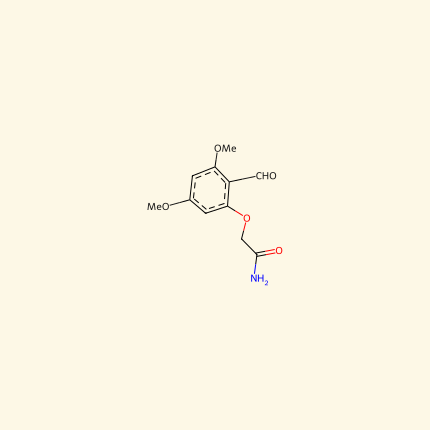 COc1cc(OC)c(C=O)c(OCC(N)=O)c1